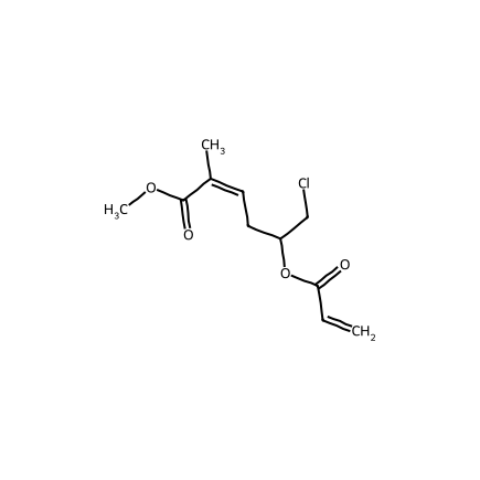 C=CC(=O)OC(CCl)CC=C(C)C(=O)OC